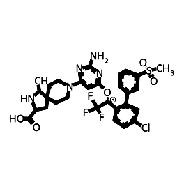 CC1NC(C(=O)O)CC12CCN(c1cc(O[C@H](c3ccc(Cl)cc3-c3cccc(S(C)(=O)=O)c3)C(F)(F)F)nc(N)n1)CC2